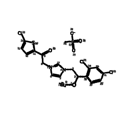 CCCCOC(Cn1cc[n+](CC(=O)c2ccc(Cl)s2)c1)c1ccc(Cl)cc1Cl.CS(=O)(=O)[O-]